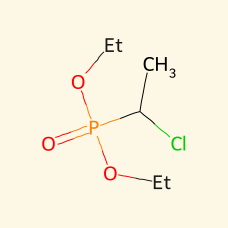 CCOP(=O)(OCC)C(C)Cl